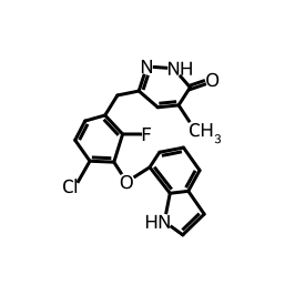 Cc1cc(Cc2ccc(Cl)c(Oc3cccc4cc[nH]c34)c2F)n[nH]c1=O